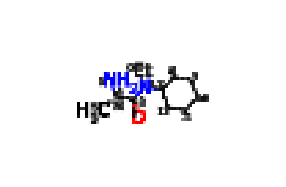 CCN(C(=O)[C@H](C)N)C1CCCCC1